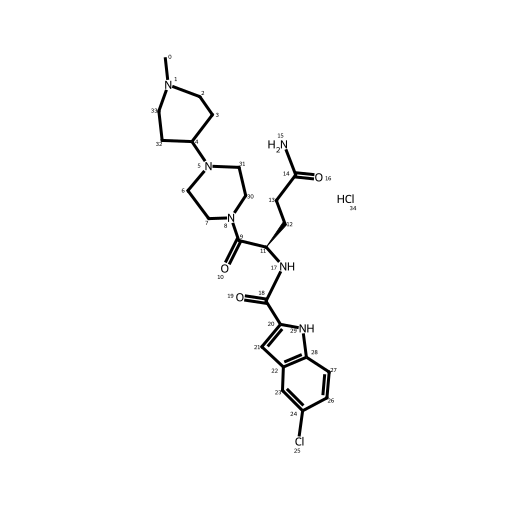 CN1CCC(N2CCN(C(=O)[C@@H](CCC(N)=O)NC(=O)c3cc4cc(Cl)ccc4[nH]3)CC2)CC1.Cl